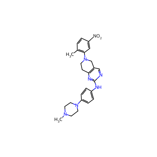 Cc1ccc([N+](=O)[O-])cc1N1CCc2nc(Nc3ccc(N4CCN(C)CC4)cc3)ncc2C1